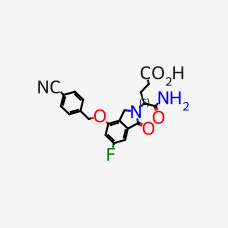 N#Cc1ccc(COc2cc(F)cc3c2CN([C@@H](CCC(=O)O)C(N)=O)C3=O)cc1